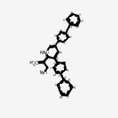 C=C(CBr)C1NC=C(c2ccc(-c3ccccc3)cc2)C=C1c1ccc(-c2ccccc2)cc1